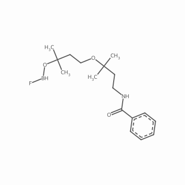 CC(C)(CCOC(C)(C)CCNC(=O)c1ccccc1)OBF